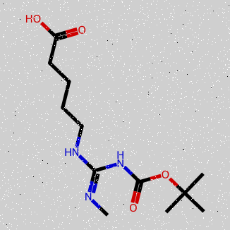 C/N=C(/NCCCCC(=O)O)NC(=O)OC(C)(C)C